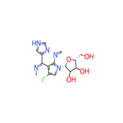 C=Nc1c(/C(=N\C)c2c[nH]cn2)c(F)cn1[C@@H]1O[C@H](CO)[C@@H](O)[C@H]1O